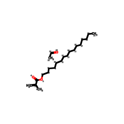 C=C(C)C(=O)OCCCCCCCCCCCCCCCC.CC=O